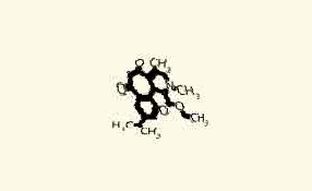 CCOC(=O)C1C2C(=C(C)CN1C)C(=O)CC(=O)c1cc(C(C)C)ccc12